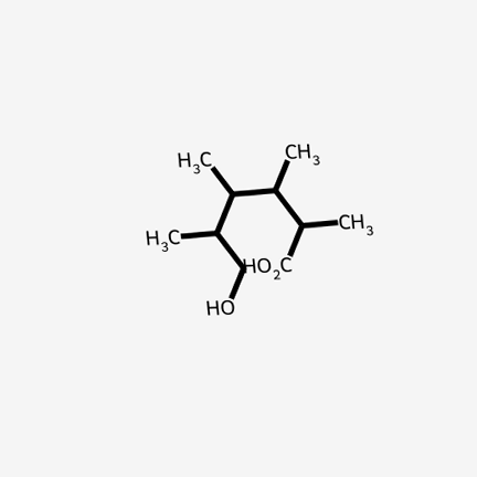 CC(CO)C(C)C(C)C(C)C(=O)O